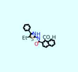 CCc1sc(NC(=O)c2ccc3ccccc3c2C(=O)O)nc1-c1ccccc1